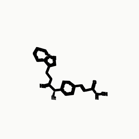 CC[C@H](C(=N)CCc1cnn2ccccc12)c1ccc(/C=C/C(=O)NO)cc1